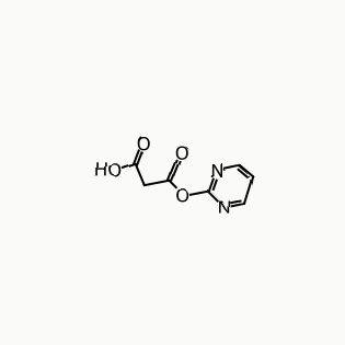 O=C(O)CC(=O)Oc1ncccn1